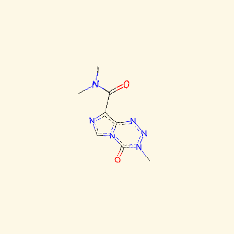 CN(C)C(=O)c1ncn2c(=O)n(C)nnc12